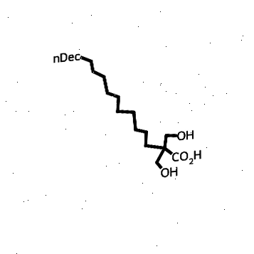 CCCCCCCCCCCCCCCCCCCCC(CO)(CO)C(=O)O